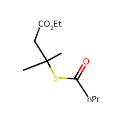 CCCC(=O)SC(C)(C)CC(=O)OCC